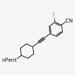 CCCCCC1CCC(C#Cc2ccc(C#N)c(F)c2)CC1